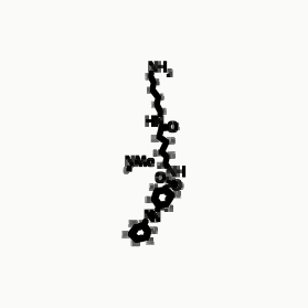 CNC.NCCCCCCNC(=O)CCCCCNS(=O)(=O)c1ccc(N=Nc2ccccc2)cc1